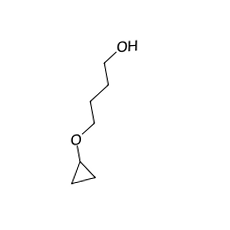 OCCCCOC1CC1